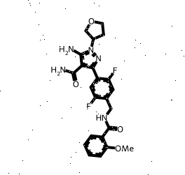 COc1ccccc1C(=O)NCc1cc(F)c(-c2nn(C3CCOC3)c(N)c2C(N)=O)cc1F